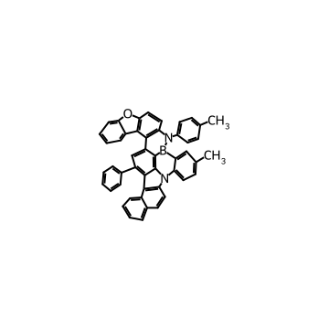 Cc1ccc(N2B3c4cc(C)ccc4-n4c5ccc6ccccc6c5c5c(-c6ccccc6)cc(c3c54)-c3c2ccc2oc4ccccc4c32)cc1